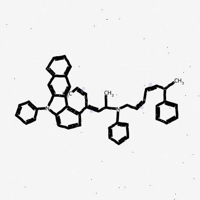 C/C=C\C(=C/C(C)N(C/C=C\C=C/C(C)c1ccccc1)c1ccccc1)c1cccc2c1c1cc3ccccc3cc1n2-c1ccccc1